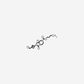 CCCCOC(=O)N1CCN2C(=O)N(C34CC(C=O)(C3)C4)C[C@@H]2C1